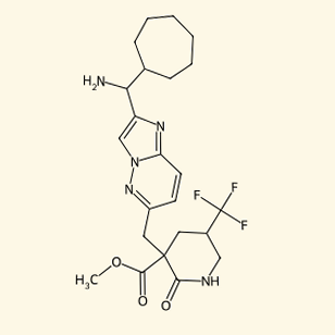 COC(=O)C1(Cc2ccc3nc(C(N)C4CCCCCC4)cn3n2)CC(C(F)(F)F)CNC1=O